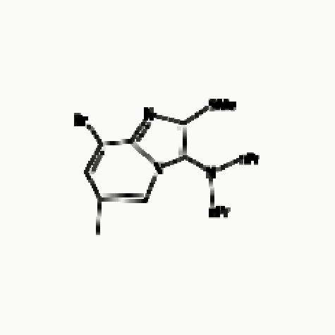 CCCN(CCC)c1c(SC)nc2c(Br)cc(C)cn12